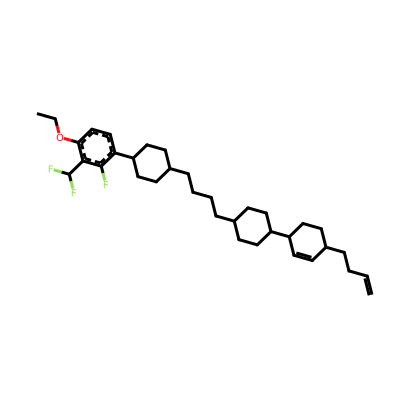 C=CCCC1C=CC(C2CCC(CCCCC3CCC(c4ccc(OCC)c(C(F)F)c4F)CC3)CC2)CC1